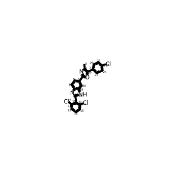 Cc1nc(-c2ccc3nc(-c4c(Cl)cccc4Cl)[nH]c3c2)oc1-c1ccc(Cl)cc1